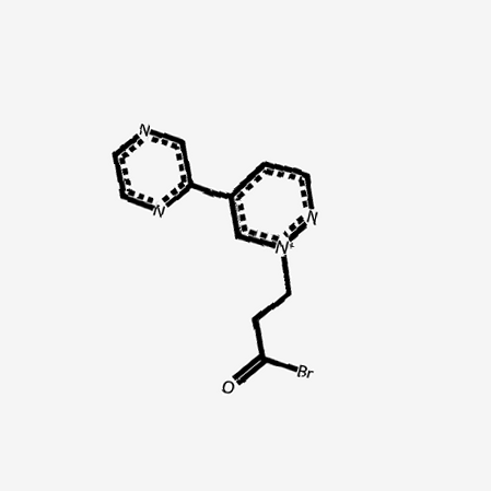 O=C(Br)CC[n+]1cc(-c2cnccn2)ccn1